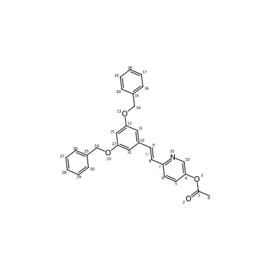 CC(=O)Oc1ccc(/C=C/c2cc(OCc3ccccc3)cc(OCc3ccccc3)c2)nc1